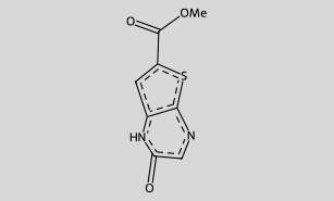 COC(=O)c1cc2[nH]c(=O)cnc2s1